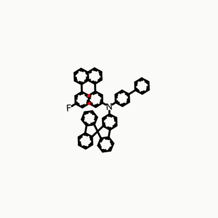 Fc1cccc(-c2cccc3cccc(-c4cccc(N(c5ccc(-c6ccccc6)cc5)c5ccc6c(c5)C5(c7ccccc7-c7ccccc75)c5ccccc5-6)c4)c23)c1